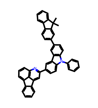 CC1(C)c2ccccc2-c2ccc(-c3ccc4c(c3)c3cc(-c5cc6c7c(cccc7n5)-c5ccccc5-6)ccc3n4-c3ccccc3)cc21